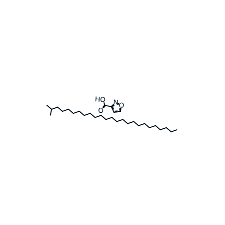 CCCCCCCCCCCCCCCCCCCCCCCC(C)C.O=C(O)c1ccon1